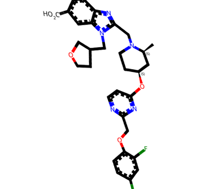 C[C@H]1C[C@@H](Oc2ccnc(COc3ccc(F)cc3F)n2)CCN1Cc1nc2ccc(C(=O)O)cc2n1CC1CCOC1